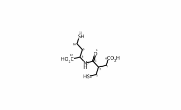 O=C(O)CC(CS)C(=O)NC(CCS)C(=O)O